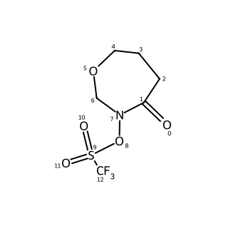 O=C1CCCOCN1OS(=O)(=O)C(F)(F)F